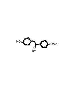 COc1ccc(C(=O)C[n+]2ccc(C#N)cc2)cc1.[Br-]